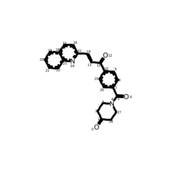 O=C1CCN(C(=O)c2ccc(C(=O)C=Cc3ccc4ccccc4n3)cc2)CC1